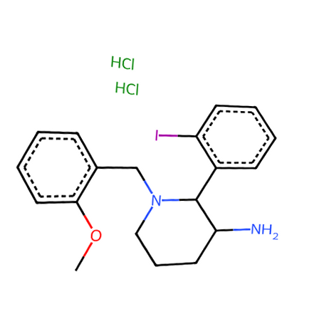 COc1ccccc1CN1CCCC(N)C1c1ccccc1I.Cl.Cl